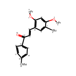 CCCOc1cc(OCCC)c(C(C)(C)C)cc1C=CC(=O)c1ccc(OC)cc1